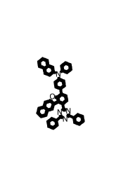 c1ccc(-c2nc(-c3ccccc3)nc(-c3ccc(-c4ccc(N(c5ccccc5)c5ccc6ccccc6c5)cc4)c4oc5cc6ccccc6cc5c34)n2)cc1